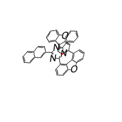 c1ccc(-c2nc(-c3ccc4ccccc4c3)nc(-c3cccc4oc5cccc(-c6ccc7c(c6)oc6ccccc67)c5c34)n2)cc1